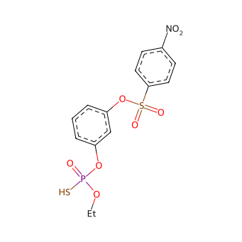 CCOP(=O)(S)Oc1cccc(OS(=O)(=O)c2ccc([N+](=O)[O-])cc2)c1